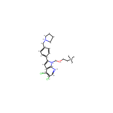 C[Si](C)(C)CCOCn1c(-c2ccc(CN3CCCC3)cc2)cc2c(Cl)c(Cl)cnc21